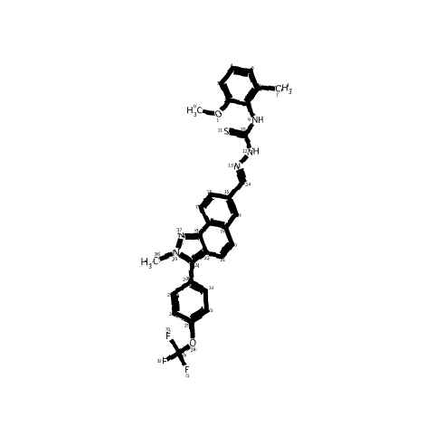 COc1cccc(C)c1NC(=S)N/N=C/c1ccc2c(ccc3c(-c4ccc(OC(F)(F)F)cc4)n(C)nc32)c1